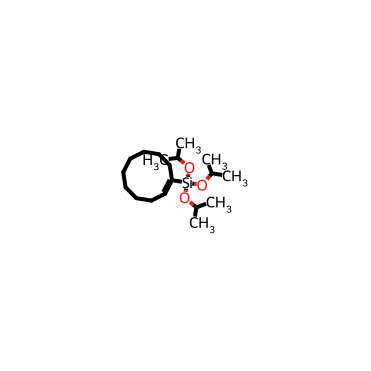 CC(C)O[Si](OC(C)C)(OC(C)C)C1=CCCCCCCCC1